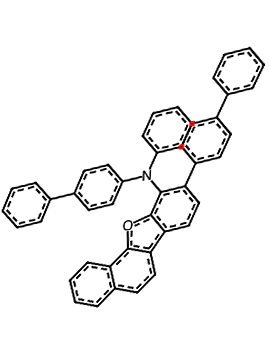 c1ccc(-c2ccc(-c3ccc4c(oc5c6ccccc6ccc45)c3N(c3ccccc3)c3ccc(-c4ccccc4)cc3)cc2)cc1